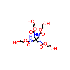 O=C(NCC(CNC(=O)OCCO)(CNC(=O)OCCO)CNC(=O)OCCO)OCCO